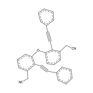 N#CCc1cccc(Oc2cccc(CC#N)c2C#Cc2ccccc2)c1C#Cc1ccccc1